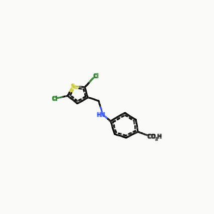 O=C(O)c1ccc(NCc2cc(Cl)sc2Cl)cc1